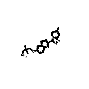 Cc1ccn2c(-c3ccc4cc(OCC(C)(C)CN)ccc4n3)nnc2c1